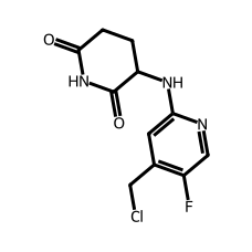 O=C1CCC(Nc2cc(CCl)c(F)cn2)C(=O)N1